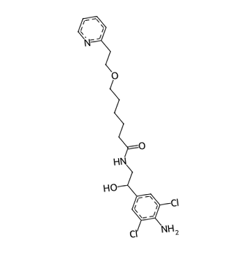 Nc1c(Cl)cc(C(O)CNC(=O)CCCCCOCCc2ccccn2)cc1Cl